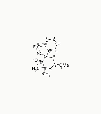 COC1CC(C)(C)C(=O)C(C#N)(c2ccccc2C(F)(F)F)C1